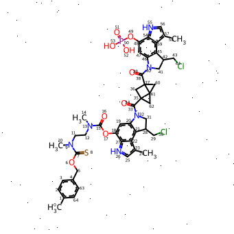 Cc1ccc(COC(=S)N(C)CCN(C)C(=O)Oc2cc3c(c4c(C)c[nH]c24)C(CCl)CN3C(=O)C23CC4(C(=O)N5CC(CCl)c6c5cc(OP(=O)(O)O)c5[nH]cc(C)c65)CC24C3)cc1